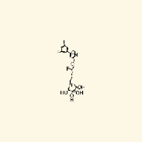 O[C@H]1[C@H](O)[C@@H](O)CN(CCCCC(F)COCc2cc(-c3cc(F)cc(F)c3)on2)C[C@@H]1O